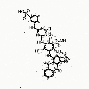 Cc1c(Nc2nc(Cl)nc(Nc3cccc(S(=O)(=O)O)c3)n2)c(C)c(S(=O)(=O)O)c(C)c1Nc1cc2c(c3c1C(=O)c1ccccc1C3=O)NS2(=O)=O